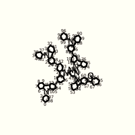 c1ccc(-n2c3ccccc3c3cc(-c4ccc5c(c4)c4cc(-c6ccc7c(c6)c6ccccc6n7-c6ccccc6)ccc4n5-c4cc(-n5c6ccccc6c6cc7c(cc65)oc5ccccc57)nc(-n5c6ccccc6c6cc(-c7ccc8c(c7)c7ccccc7n8-c7ccccc7)ccc65)n4)ccc32)cc1